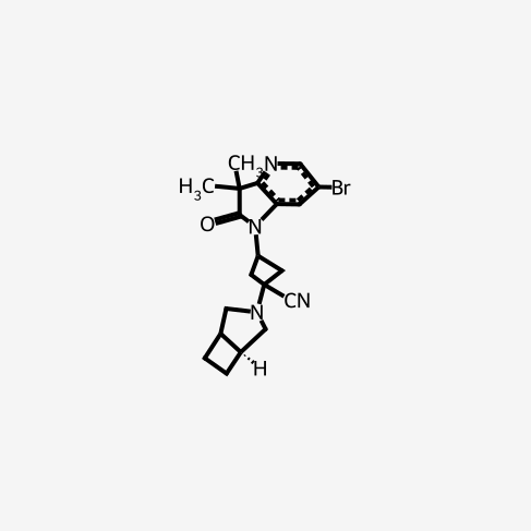 CC1(C)C(=O)N(C2CC(C#N)(N3CC4CC[C@@H]4C3)C2)c2cc(Br)cnc21